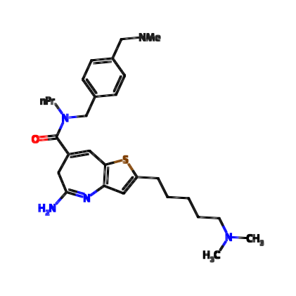 CCCN(Cc1ccc(CNC)cc1)C(=O)C1=Cc2sc(CCCCCN(C)C)cc2N=C(N)C1